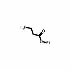 CCOC(=O)CCP